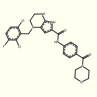 O=C(Nc1ccc(C(=O)N2CCOCC2)cc1)c1cc2c([nH]1)NCCN2Cc1c(Cl)ccc(F)c1Cl